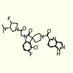 CN(C)[C@@H]1CN(C(=O)CN2C(=O)C3(CCN(C(=O)c4ccc5[nH]ncc5n4)CC3)c3c2ccc(F)c3Cl)C[C@@H]1F